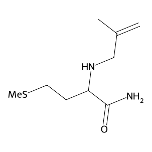 C=C(C)CNC(CCSC)C(N)=O